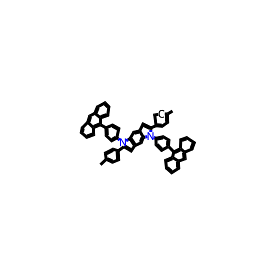 CC1=CC=C(c2cc3cc4c(cc(-c5ccc(C)cc5)n4-c4ccc(-c5c6ccccc6cc6ccccc56)cc4)cc3n2-c2ccc(-c3c4ccccc4cc4ccccc34)cc2)CC1